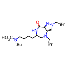 CC(C)CN1CC(CCCCN(C(=O)O)C(C)(C)C)NC(=O)c2nn(CC(C)C)cc21